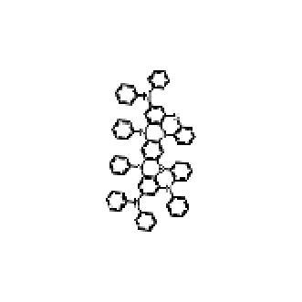 c1ccc(N(c2ccccc2)c2cc3c4c(c2)N(c2ccccc2)c2cc5c(cc2B4c2ccccc2S3)B2c3ccccc3N(c3ccccc3)c3cc(N(c4ccccc4)c4ccccc4)cc(c32)N5c2ccccc2)cc1